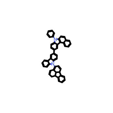 C1=CC2=C(n3c4ccccc4c4cc(-c5ccc6c(c5)c5c7ccccc7ccc5n6-c5ccccc5)ccc43)C=CC3c4ccccc4C(C1)C23